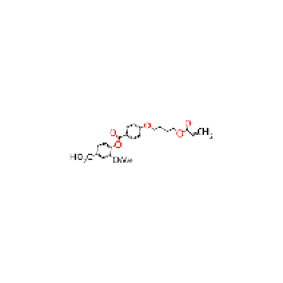 C=CC(=O)OCCCCOc1ccc(C(=O)Oc2ccc(C(=O)O)cc2OC)cc1